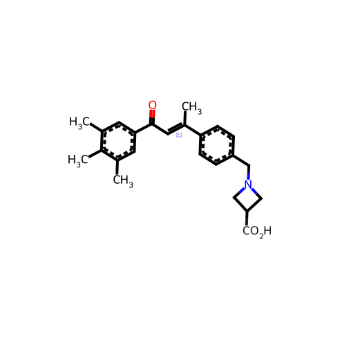 C/C(=C\C(=O)c1cc(C)c(C)c(C)c1)c1ccc(CN2CC(C(=O)O)C2)cc1